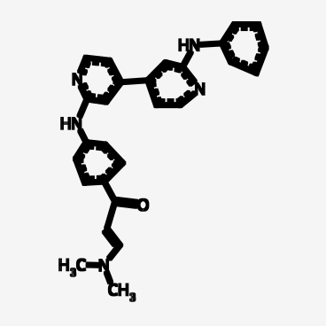 CN(C)/C=C/C(=O)c1ccc(Nc2cc(-c3ccnc(Nc4ccccc4)c3)ccn2)cc1